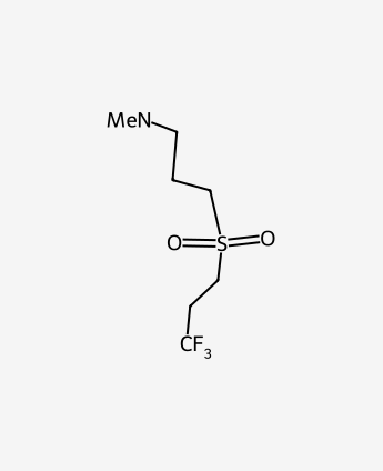 CNCCCS(=O)(=O)CCC(F)(F)F